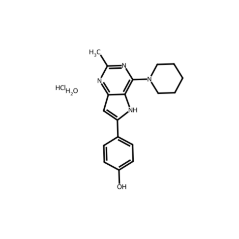 Cc1nc(N2CCCCC2)c2[nH]c(-c3ccc(O)cc3)cc2n1.Cl.O